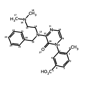 Cc1ccc(C(=O)O)cc1-n1ccnc(N(CCN(C)C)Cc2ccccc2)c1=O